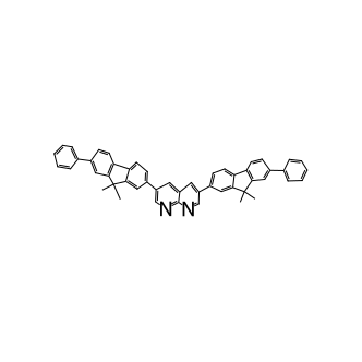 CC1(C)c2cc(-c3ccccc3)ccc2-c2ccc(-c3cnc4ncc(-c5ccc6c(c5)C(C)(C)c5cc(-c7ccccc7)ccc5-6)cc4c3)cc21